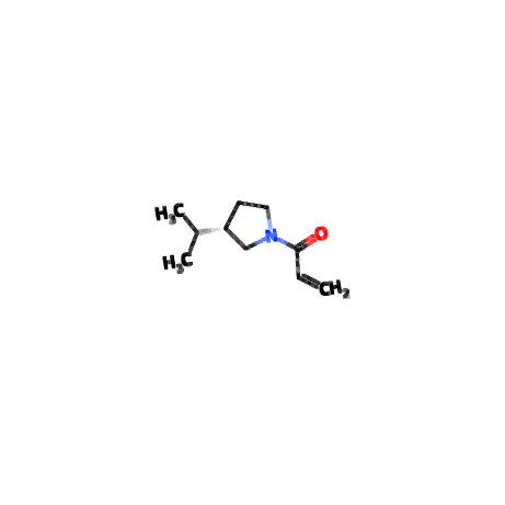 C=CC(=O)N1CC[C@@H](C(C)C)C1